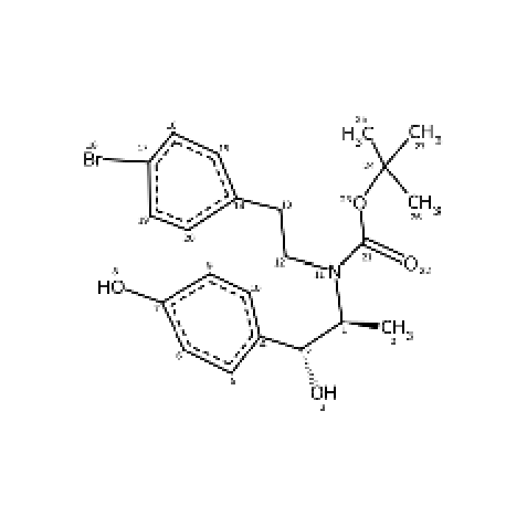 C[C@@H]([C@H](O)c1ccc(O)cc1)N(CCc1ccc(Br)cc1)C(=O)OC(C)(C)C